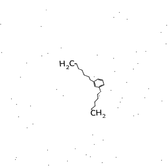 C=CCCCCCc1cccc(CCCCCC=C)c1